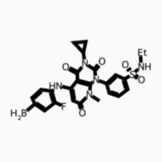 Bc1ccc(Nc2cc(=O)n(C)c3c2c(=O)n(C2CC2)c(=O)n3-c2cccc(S(=O)(=O)NCC)c2)c(F)c1